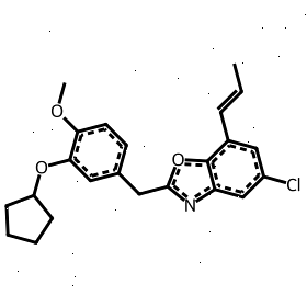 C/C=C/c1cc(Cl)cc2nc(Cc3ccc(OC)c(OC4CCCC4)c3)oc12